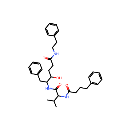 CC(C)C(NC(=O)CCCc1ccccc1)C(=O)NC(Cc1ccccc1)C(O)CCC(=O)NCCc1ccccc1